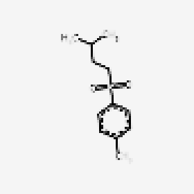 Cc1ccc(S(=O)(=O)CCC(C)C)cc1